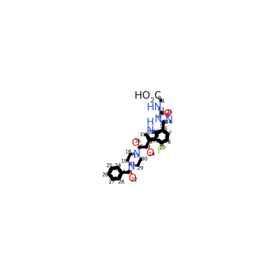 O=C(O)CNc1nc(-c2ccc(F)c3c(C(=O)C(=O)N4CCN(C(=O)c5ccccc5)CC4)c[nH]c23)no1